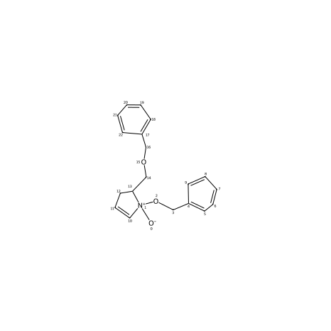 [O-][N+]1(OCc2ccccc2)C=CCC1COCc1ccccc1